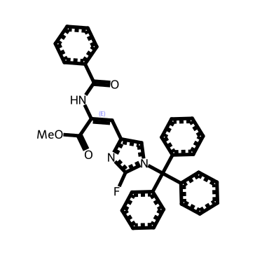 COC(=O)/C(=C\c1cn(C(c2ccccc2)(c2ccccc2)c2ccccc2)c(F)n1)NC(=O)c1ccccc1